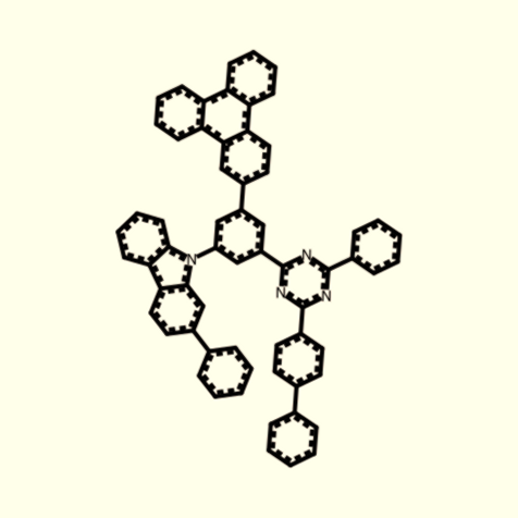 c1ccc(-c2ccc(-c3nc(-c4ccccc4)nc(-c4cc(-c5ccc6c7ccccc7c7ccccc7c6c5)cc(-n5c6ccccc6c6ccc(-c7ccccc7)cc65)c4)n3)cc2)cc1